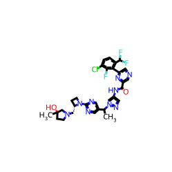 CC(c1cnc(N2CC[C@H]2CN2CCC(C)(O)C2)nc1)n1cc(NC(=O)c2cncc(-c3c(C(F)F)ccc(Cl)c3F)n2)cn1